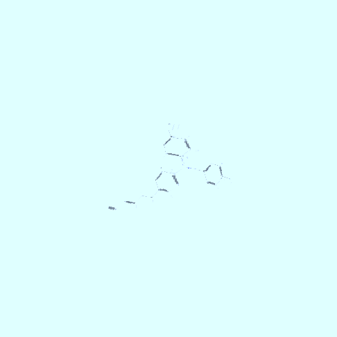 C=C/C=C/CCc1ccc(N(c2ccc(C)cc2)c2ccc(C)cc2)cc1